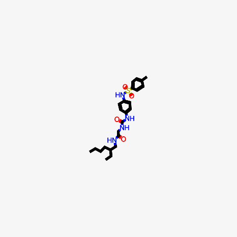 CCCCC(CC)CNC(=O)CNC(=O)Nc1ccc(NS(=O)(=O)c2ccc(C)cc2)cc1